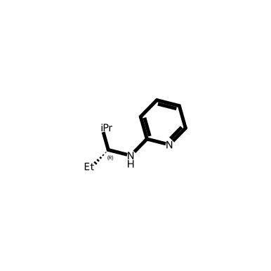 CC[C@@H](Nc1ccccn1)C(C)C